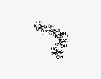 N.O.O.O=S(=O)(O)O.O=S(=O)(O)O.O=S(=O)(O)O.O=S(=O)(O)O.[KH]